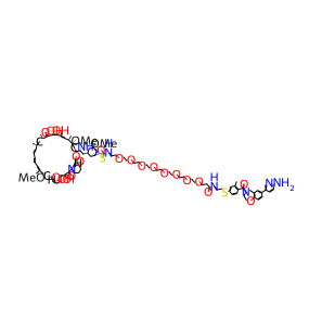 CO[C@H]1C[C@@H]2CC[C@@H](C)[C@@](O)(O2)C(=O)C(=O)N2CCCC[C@H]2C(=O)O[C@H]([C@H](N)C[C@@H]2CC[C@@H](OC(=S)NCCOCCOCCOCCOCCOCCOCCOCCOCCC(=O)NCCSc3ccc(C(=O)N4CCOc5ccc(-c6ccc(N)nc6)cc5C4)c(C)c3)[C@H](OC)C2)C[C@@H](OC)[C@H](C)/C=C(\C)[C@@H](O)[C@@H](O)C(=O)[C@H](C)C[C@H](C)/C=C/C=C/C=C/1C